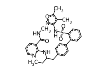 CCC(Cc1ccc(-c2ccccc2S(=O)(=O)Nc2noc(C)c2C)cc1)Nc1ncccc1C(=O)NC